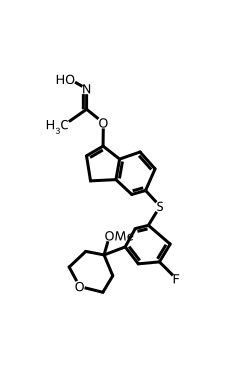 COC1(c2cc(F)cc(Sc3ccc4c(c3)CC=C4O/C(C)=N/O)c2)CCOCC1